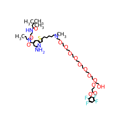 CCCN(OCCNC(=O)CC(C)(C)C)C(=O)C1=Cc2sc(CCCCCN(C)CCOCCOCCOCCOCCOCCOCCOCCOC(CO)OCCC(=O)Oc3c(F)c(F)cc(F)c3F)cc2N=C(N)C1